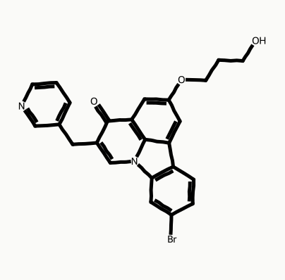 O=c1c(Cc2cccnc2)cn2c3cc(Br)ccc3c3cc(OCCCO)cc1c32